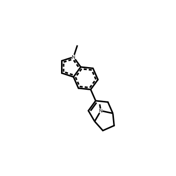 CN1C2C=C(c3ccc4c(ccn4C)c3)CC1CC2